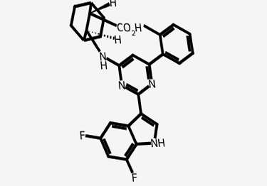 Cc1ccccc1-c1cc(N[C@H]2C3CCC(CC3)[C@@H]2C(=O)O)nc(-c2c[nH]c3c(F)cc(F)cc23)n1